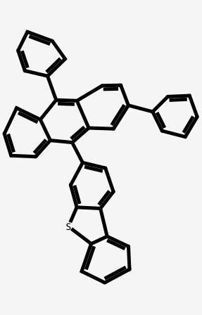 c1ccc(-c2ccc3c(-c4ccccc4)c4ccccc4c(-c4ccc5c(c4)sc4ccccc45)c3c2)cc1